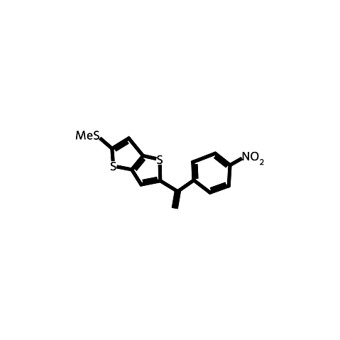 C=C(c1ccc([N+](=O)[O-])cc1)c1cc2sc(SC)cc2s1